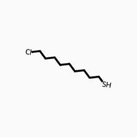 SCCCCCCCCCCl